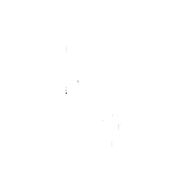 C[C@]12CCCC(=O)[C@@H]1CC[C@@H]2C1(CC=CC(O[Si](C)(C)C)(C(F)(F)F)C(F)(F)F)CC1